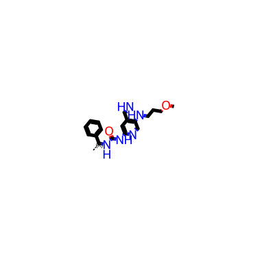 COCCCNc1cnc(NC(=O)N[C@H](C)c2ccccc2)cc1C=N